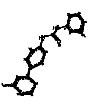 Cc1cc(-c2ccc(NC(=O)Nc3ccccc3)cc2)ccn1